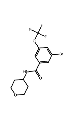 O=C(NC1CCOCC1)c1cc(Br)cc(OC(F)(F)F)c1